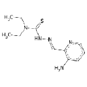 CCN(CC)C(=S)NN=Cc1ncccc1N